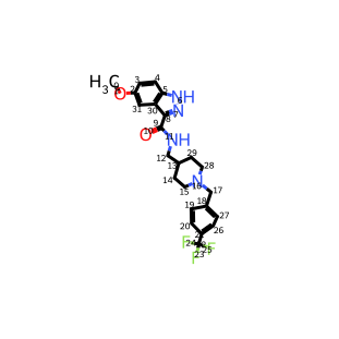 COc1ccc2[nH]nc(C(=O)NCC3CCN(Cc4ccc(C(F)(F)F)cc4)CC3)c2c1